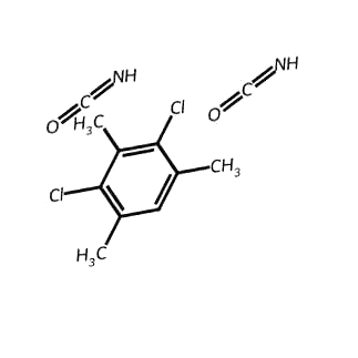 Cc1cc(C)c(Cl)c(C)c1Cl.N=C=O.N=C=O